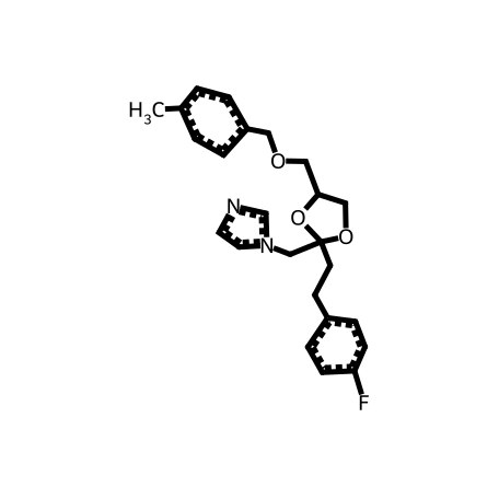 Cc1ccc(COCC2COC(CCc3ccc(F)cc3)(Cn3ccnc3)O2)cc1